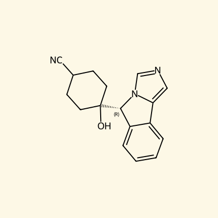 N#CC1CCC(O)([C@H]2c3ccccc3-c3cncn32)CC1